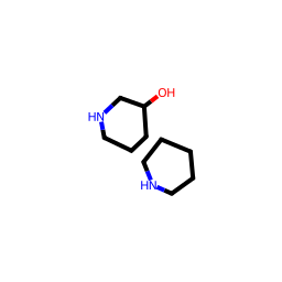 C1CCNCC1.OC1CCCNC1